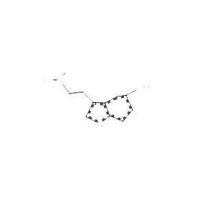 CCN(C)CCc1c[nH]c2ccc(SC)cc12